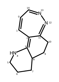 C1=CC2=C3NCCCC3CCC2=NN=C1